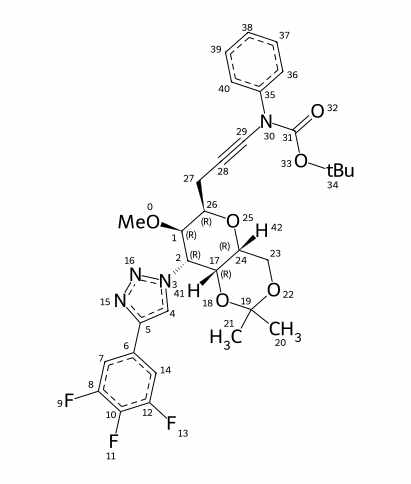 CO[C@@H]1[C@@H](n2cc(-c3cc(F)c(F)c(F)c3)nn2)[C@H]2OC(C)(C)OC[C@H]2O[C@@H]1CC#CN(C(=O)OC(C)(C)C)c1ccccc1